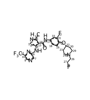 Cc1nsc(Nc2cncc(C(F)(F)F)n2)c1C(=O)Nc1ccc(OC2CCN(CCF)CC2)c(F)c1